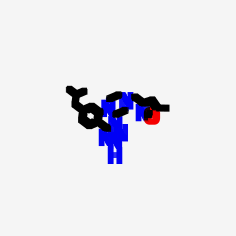 Cc1cc(CN2CCN(c3cc(CC(C)C)ccc3-c3nn[nH]n3)CC2)no1